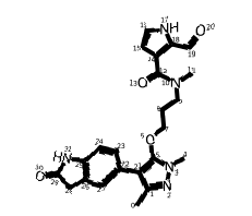 Cc1nn(C)c(OCCCN(C)C(=O)c2cc[nH]c2C=O)c1-c1ccc2c(c1)CC(=O)N2